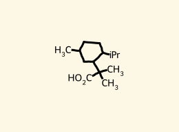 CC1CCC(C(C)C)C(C(C)(C)C(=O)O)C1